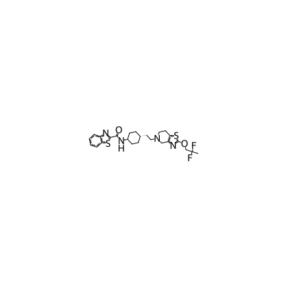 CC(F)(F)COc1nc2c(s1)CCN(CC[C@H]1CC[C@H](NC(=O)c3nc4ccccc4s3)CC1)C2